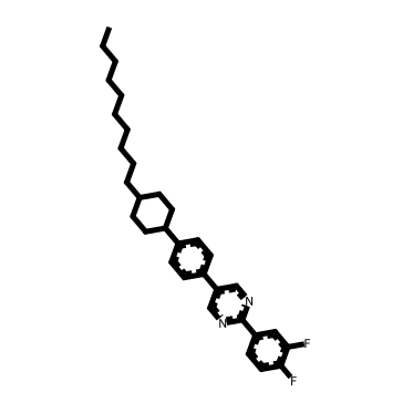 CCCCCCCCCCC1CCC(c2ccc(-c3cnc(-c4ccc(F)c(F)c4)nc3)cc2)CC1